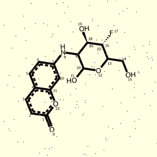 O=c1ccc2ccc(NC3C(O)OC(CO)[C@@H](F)[C@@H]3O)cc2o1